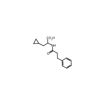 O=C(CCc1ccccc1)NC(CC1CC1)C(=O)O